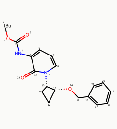 CC(C)(C)OC(=O)Nc1cccn([C@H]2CC[C@H]2OCc2ccccc2)c1=O